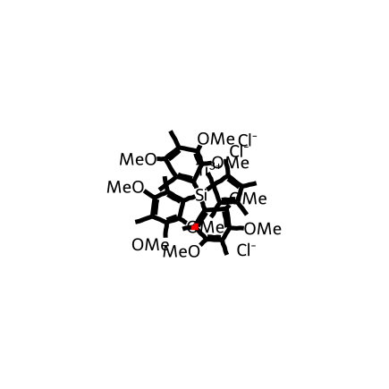 COc1c(C)c(OC)c(OC)c([Si](c2c(C)c(OC)c(C)c(OC)c2OC)(c2c(C)c(OC)c(C)c(OC)c2OC)[C]2([Ti+3])C(C)=C(C)C(C)=C2C)c1C.[Cl-].[Cl-].[Cl-]